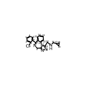 Clc1ccccc1C1=NCc2nnc(CNCC3CC3)n2-c2ccccc21